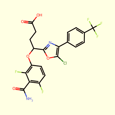 NC(=O)c1c(F)ccc(OC(CCC(=O)O)c2nc(-c3ccc(C(F)(F)F)cc3)c(Cl)o2)c1F